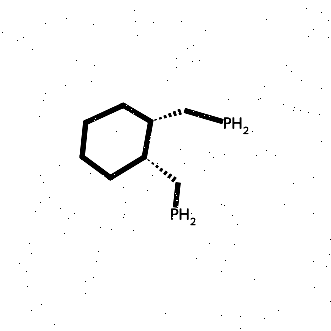 PC[C@@H]1CCCC[C@@H]1CP